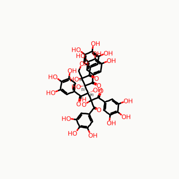 O=C(c1cc(O)c(O)c(O)c1)C(O)(C(=O)c1cc(O)c(O)c(O)c1)[C@@](O)(C(=O)c1cc(O)c(O)c(O)c1)[C@](O)(C(=O)c1cc(O)c(O)c(O)c1)[C@](O)(CO)C(=O)c1cc(O)c(O)c(O)c1